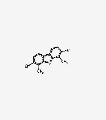 [CH2]c1c(Br)ccc2c1sc1c([CH2])c(Br)ccc12